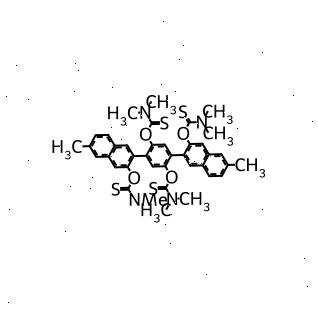 CNC(=S)Oc1cc2cc(C)ccc2cc1-c1cc(OC(=S)N(C)C)c(-c2cc3ccc(C)cc3cc2OC(=S)N(C)C)cc1OC(=S)N(C)C